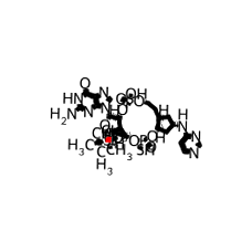 CC(C)(C)[Si](C)(C)OC12[C@@H]3O[C@@H](n4cnc5c(=O)[nH]c(N)nc54)[C@@H]1OP(=O)(O)OCC[C@H]1C[C@@H](Nc4ccncn4)C[C@@H]1OP(=O)(S)O[C@@H]32